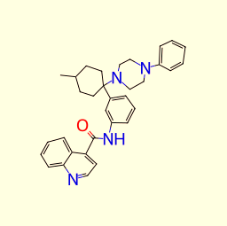 CC1CCC(c2cccc(NC(=O)c3ccnc4ccccc34)c2)(N2CCN(c3ccccc3)CC2)CC1